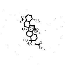 CC(=O)O[C@H]1CC[C@@]2(C)C(CC[C@]3(C)C2C(=O)C=C2C4[C@@H](C)CCC[C@]4(C(=O)O)CC[C@]23C)C1(C)C